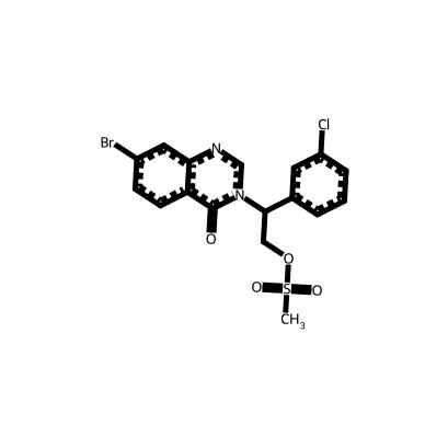 CS(=O)(=O)OCC(c1cccc(Cl)c1)n1cnc2cc(Br)ccc2c1=O